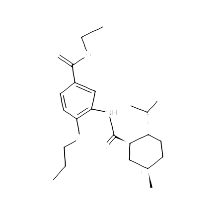 CCCOc1ccc(C(=O)OCC)cc1NC(=O)[C@@H]1C[C@H](C)CC[C@H]1C(C)C